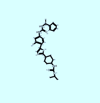 CC(C)OC(=O)NC1CCC(c2ncc(-c3ccc(NC(=O)N[C@@H](C)c4ccccc4)cc3F)s2)CC1